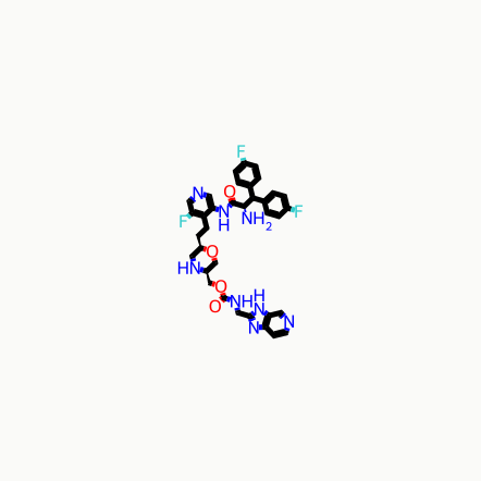 N[C@H](C(=O)Nc1cncc(F)c1CC[C@@H]1CN[C@H](COC(=O)NCc2nc3ccncc3[nH]2)CO1)C(c1ccc(F)cc1)c1ccc(F)cc1